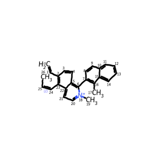 C=Cc1ccc2c(-c3ccc4ccccc4c3C)[n+](C)ccc2c1/C=C\C